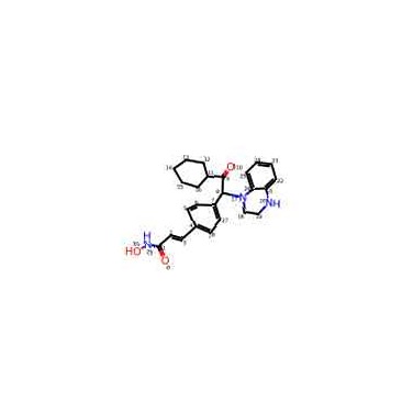 O=C(C=Cc1ccc(C(C(=O)C2CCCCC2)N2CCNc3ccccc32)cc1)NO